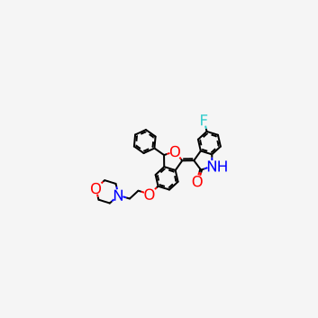 O=C1Nc2ccc(F)cc2C1=C1OC(c2ccccc2)c2cc(OCCN3CCOCC3)ccc21